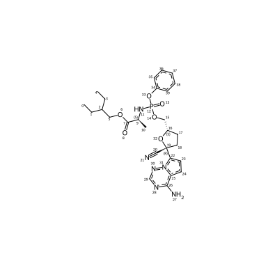 CCC(CC)COC(=O)[C@H](C)NP(=O)(OC[C@@H]1CC[C@](C#N)(c2ccc3c(N)ncnn23)O1)Oc1ccccc1